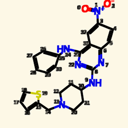 O=[N+]([O-])c1ccc2nc(NC3CCN(Cc4cccs4)CC3)nc(Nc3ccccc3)c2c1